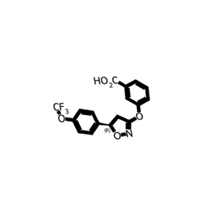 O=C(O)c1cccc(OC2=NO[C@@H](c3ccc(OC(F)(F)F)cc3)C2)c1